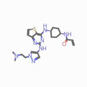 C=CC(=O)N[C@H]1CC[C@@H](Nc2nc(Nc3cnn(CCN(C)C)c3)nc3ccsc23)CC1